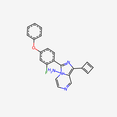 N[N+]12C=CN=CC1=C(C1=CC=C1)N=C2c1ccc(Oc2ccccc2)cc1F